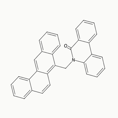 O=c1c2ccccc2c2ccccc2n1Cc1c2ccccc2cc2c1ccc1ccccc12